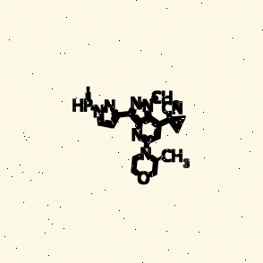 C[C@@H]1COCCN1c1cc(C2(C#N)CC2)c2c(n1)c(-c1ccn(PI)n1)nn2C